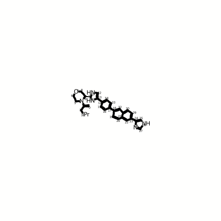 C=C(CC(C)C)N1CCOCC1[C@H]1NC=C(c2ccc(-c3ccc4cc(-c5c[nH]cn5)ccc4c3)cc2)N1